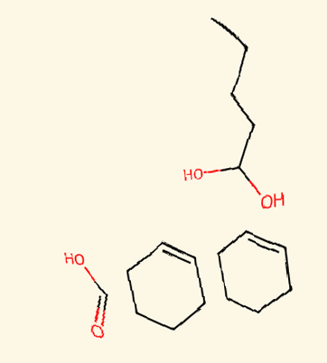 C1=CCCCC1.C1=CCCCC1.CCCCC(O)O.O=CO